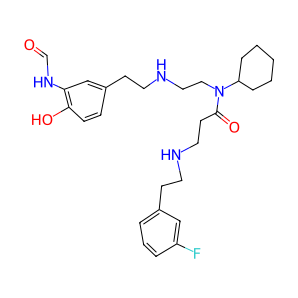 O=CNc1cc(CCNCCN(C(=O)CCNCCc2cccc(F)c2)C2CCCCC2)ccc1O